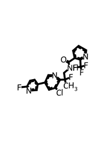 CC(F)(CNC(=O)c1cccnc1C(F)(F)F)c1ncc(-c2ccc(F)nc2)cc1Cl